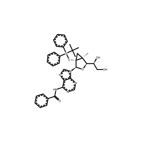 CC(C)(C)[Si](O[C@]12C[C@@]1(C)[C@@H]([C@@H](O)CO)O[C@H]2n1cnc2c(NC(=O)c3ccccc3)ncnc21)(c1ccccc1)c1ccccc1